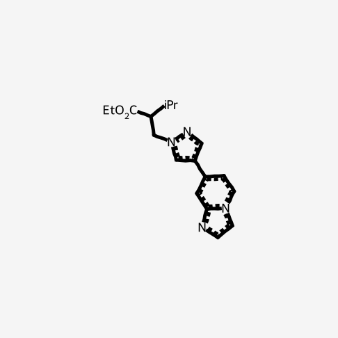 CCOC(=O)C(Cn1cc(-c2ccn3ccnc3c2)cn1)C(C)C